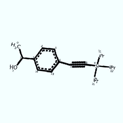 CC(O)c1ccc(C#C[Si](C(C)C)(C(C)C)C(C)C)cc1